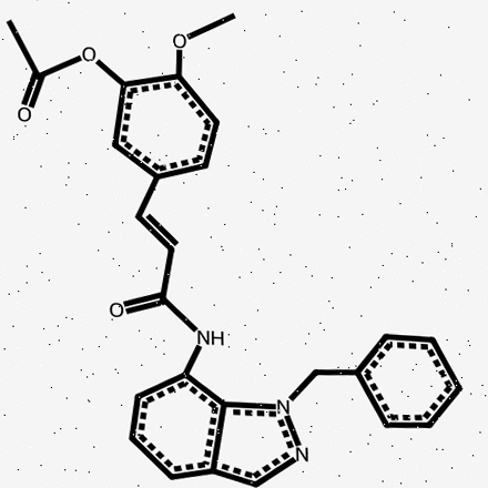 COc1ccc(/C=C/C(=O)Nc2cccc3cnn(Cc4ccccc4)c23)cc1OC(C)=O